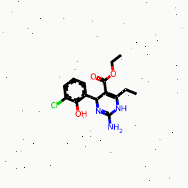 CCOC(=O)C1=C(CC)NC(N)=NC1c1cccc(Cl)c1O